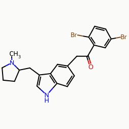 CN1CCCC1Cc1c[nH]c2ccc(CC(=O)c3cc(Br)ccc3Br)cc12